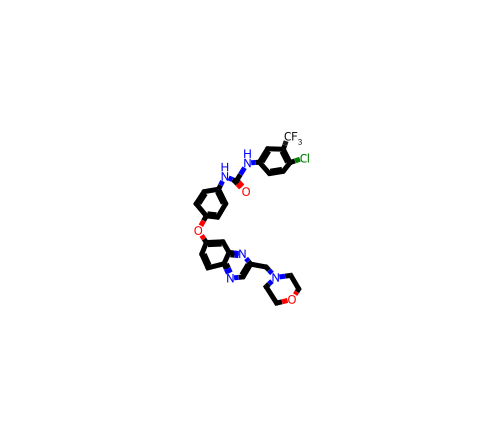 O=C(Nc1ccc(Oc2ccc3ncc(CN4CCOCC4)nc3c2)cc1)Nc1ccc(Cl)c(C(F)(F)F)c1